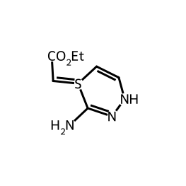 CCOC(=O)/C=S1\C=CNN=C1N